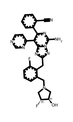 N#Cc1ccccc1-c1nc(N)n2nc(Cc3c(F)cccc3CN3C[C@@H](O)[C@H](F)C3)nc2c1-c1ccncn1